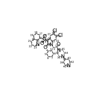 O=C(C(c1ccccc1)n1c(=O)n(S(=O)(=O)c2cccc3cccnc23)c2cc(Cl)c(Cl)cc21)N1CCN(c2ccncc2)CC1